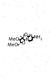 COC[C@H]1O[C@@H](n2ccc(N)nc2=O)[C@@](C)(F)C1OC